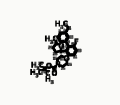 CCc1cccc(-c2c(F)cccc2C2([C@H]3CN(C(=O)OC(C)(C)C)CCO3)CCC(C)O2)c1